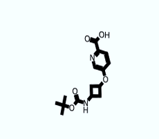 CC(C)(C)OC(=O)NC1CC(Oc2ccc(C(=O)O)nc2)C1